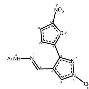 CC(=O)NN=Cc1cn(C)nc1-c1ccc([N+](=O)[O-])o1